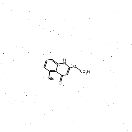 CCCCc1cccc2[nH]c(OC(=O)O)cc(=O)c12